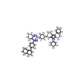 C1=c2nc(-c3ccc(C4C=c5c(c6c(n5-c5ccccc5)CCc5ccccc5-6)=CC4)cc3)nc(-c3ccc(-c4cccc5ccccc45)cc3)c2=CCC1